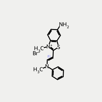 CN(/C=C/c1sc2cc(N)ccc2[n+]1C)c1ccccc1.[Br-]